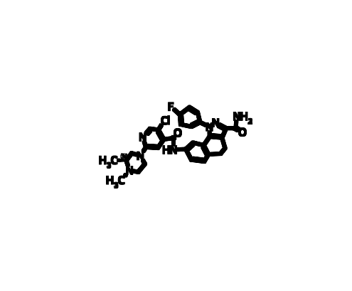 C[C@H]1CN(c2cc(C(=O)Nc3ccc4c(c3)-c3c(c(C(N)=O)nn3-c3ccc(F)cc3)CC4)c(Cl)cn2)CCN1C